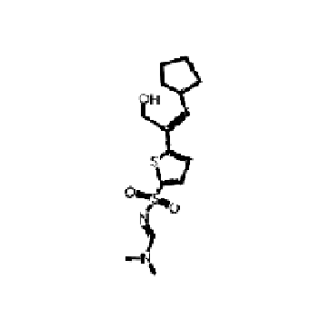 CN(C)/C=N/S(=O)(=O)c1ccc(/C(=C/C2CCCC2)CO)s1